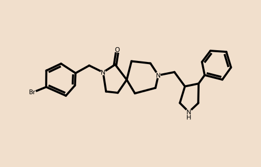 O=C1N(Cc2ccc(Br)cc2)CCC12CCN(CC1CNCC1c1ccccc1)CC2